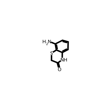 Nc1cccc2c1SCC(=O)N2